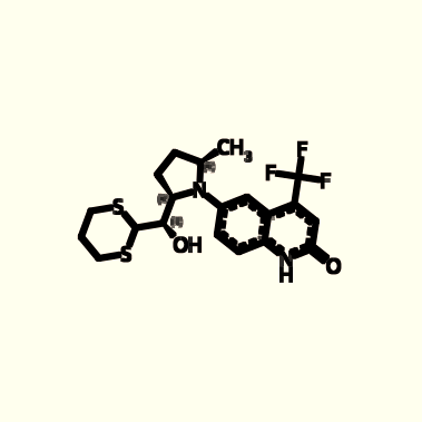 C[C@@H]1CC[C@H]([C@@H](O)C2SCCCS2)N1c1ccc2[nH]c(=O)cc(C(F)(F)F)c2c1